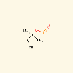 CCC(C)(C)OP=O